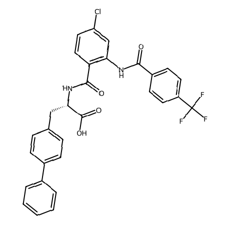 O=C(Nc1cc(Cl)ccc1C(=O)N[C@@H](Cc1ccc(-c2ccccc2)cc1)C(=O)O)c1ccc(C(F)(F)F)cc1